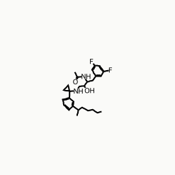 CCCCCC(C)c1cccc(C2(NCC(O)C(Cc3cc(F)cc(F)c3)NC(C)=O)CC2)c1